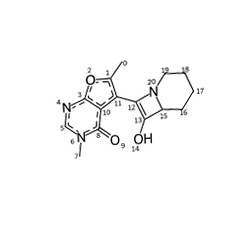 Cc1oc2ncn(C)c(=O)c2c1C1=C(O)C2CCCCN12